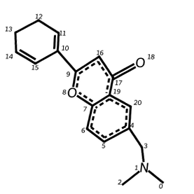 CN(C)Cc1ccc2oc(C3=CCCC=C3)cc(=O)c2c1